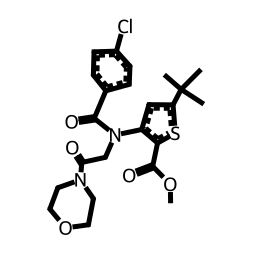 COC(=O)c1sc(C(C)(C)C)cc1N(CC(=O)N1CCOCC1)C(=O)c1ccc(Cl)cc1